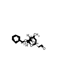 C=C1C[C@@]2(CC=O)OC(=C)[C@H]1[C@H](OCc1ccccc1)O2